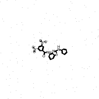 O=C(Nc1cccc2sc(Nc3ccccc3)nc12)c1cc([N+](=O)[O-])cc([N+](=O)[O-])c1